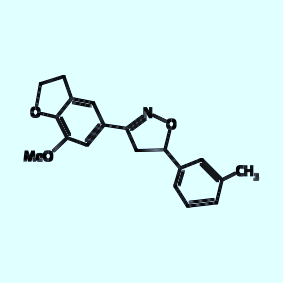 COc1cc(C2=NOC(c3cccc(C)c3)C2)cc2c1OCC2